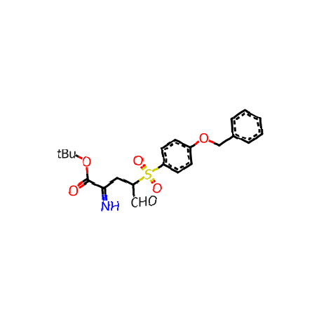 CC(C)(C)OC(=O)C(=N)CC(C=O)S(=O)(=O)c1ccc(OCc2ccccc2)cc1